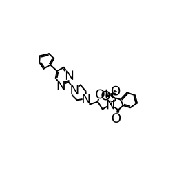 O=C1c2ccccc2S(=O)(=O)N1CC(O)CN1CCN(c2ncc(-c3ccccc3)cn2)CC1